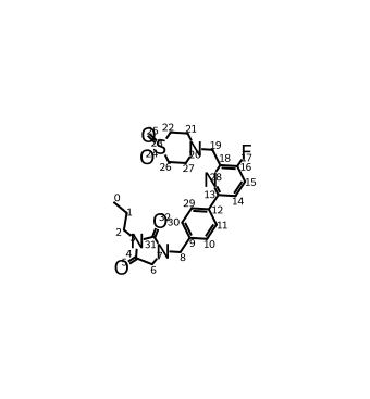 CCCN1C(=O)CN(Cc2ccc(-c3ccc(F)c(CN4CCS(=O)(=O)CC4)n3)cc2)C1=O